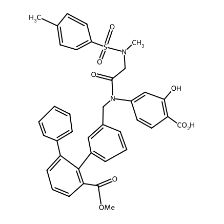 COC(=O)c1cccc(-c2ccccc2)c1-c1cccc(CN(C(=O)CN(C)S(=O)(=O)c2ccc(C)cc2)c2ccc(C(=O)O)c(O)c2)c1